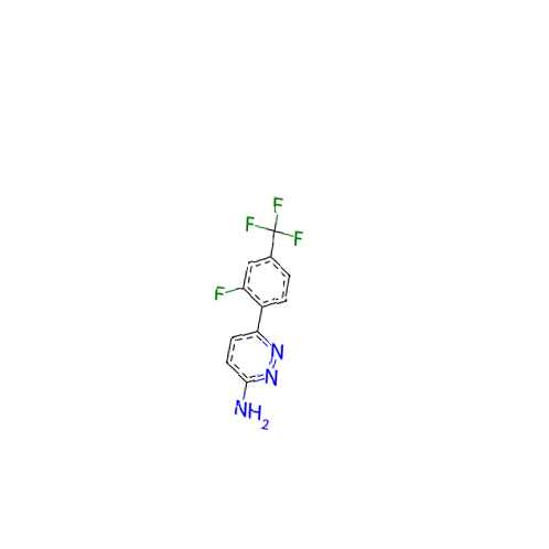 Nc1ccc(-c2ccc(C(F)(F)F)cc2F)nn1